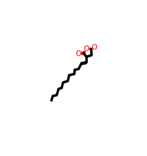 CCCCCCCCCCCC=CC1CC(=O)OC1=O